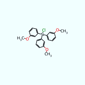 COc1cccc([Si](Cl)(c2cccc(OC)c2)c2cccc(OC)c2)c1